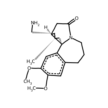 COc1cc2c(cc1OC)[C@@]13C[C@H](C)[C@@H](CN)[C@@H]1CC(=O)N3CCC2